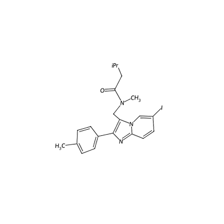 Cc1ccc(-c2nc3ccc(I)cn3c2CN(C)C(=O)CC(C)C)cc1